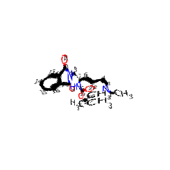 C\C=N/C=C\C=C\[C@@H](CN1C(=O)c2ccccc2C1=O)NC(=O)OC(C)(C)C